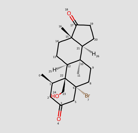 C[C@@H]1CC(=O)C[C@]2(Br)CC[C@@]3(C)[C@H](CC[C@]4(C)C(=O)CC[C@@H]34)[C@@]12CO